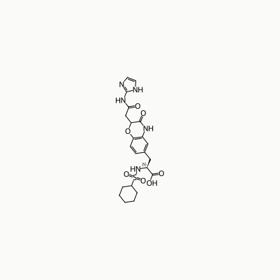 O=C(CC1Oc2ccc(C[C@H](NS(=O)(=O)C3CCCCC3)C(=O)O)cc2NC1=O)Nc1ncc[nH]1